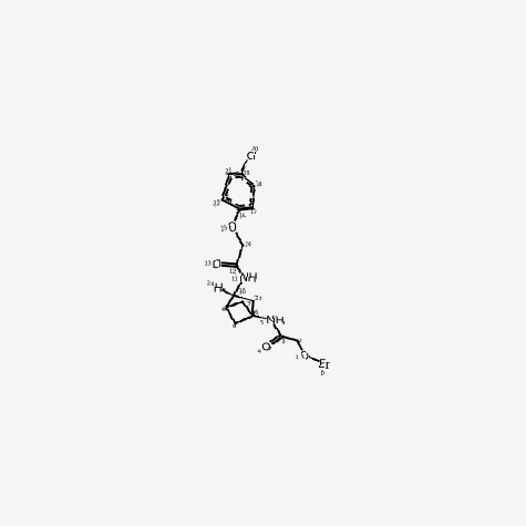 CCOCC(=O)NC12CC(C1)[C@H](NC(=O)COc1ccc(Cl)cc1)C2